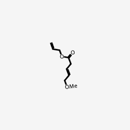 C=CCOC(=O)CC=CCOC